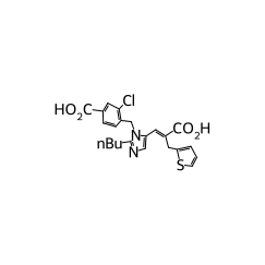 CCCCc1ncc(C=C(Cc2cccs2)C(=O)O)n1Cc1ccc(C(=O)O)cc1Cl